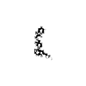 FC(F)(F)Cc1cc2c(N3CCC4(CN(Cc5cn6ccccc6n5)C4)C3)ncnc2s1